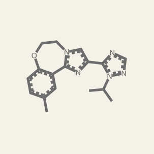 Cc1ccc2c(c1)-c1nc(-c3ncnn3C(C)C)cn1CCO2